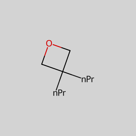 [CH2]CCC1(CCC)COC1